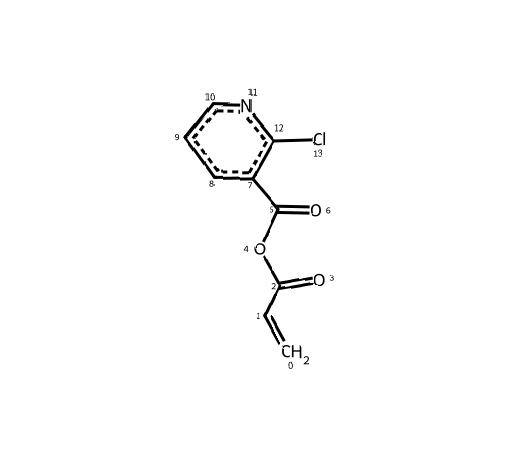 C=CC(=O)OC(=O)c1cccnc1Cl